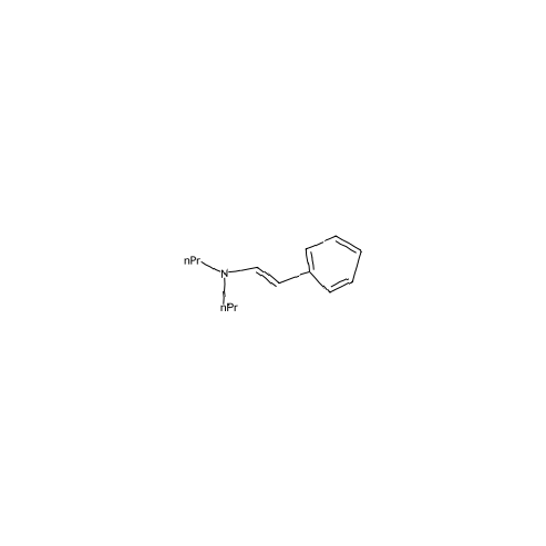 CCCN(C=Cc1ccccc1)CCC